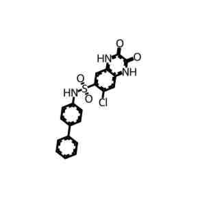 O=c1[nH]c2cc(Cl)c(S(=O)(=O)Nc3ccc(-c4ccccc4)cc3)cc2[nH]c1=O